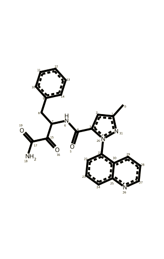 Cc1cc(C(=O)NC(Cc2ccccc2)C(=O)C(N)=O)n(-c2cccc3ncccc23)n1